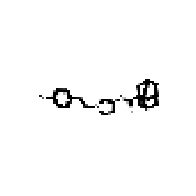 O=C(N[C@H]1CCN(CCc2ccc(F)cc2)C1)C12CC3CC(CC(C3)C1)C2